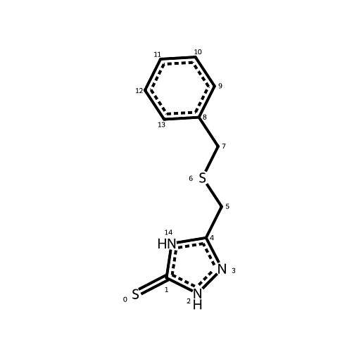 S=c1[nH]nc(CSCc2ccccc2)[nH]1